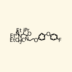 CCOC(=O)N(CCOc1ccc(Oc2ccc(F)cc2)cc1)C(=O)C(NN(CC)CC)C(C)C